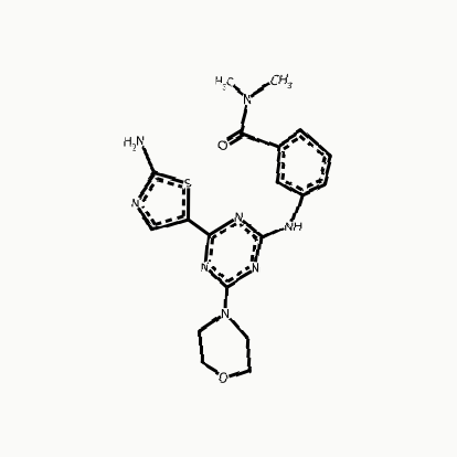 CN(C)C(=O)c1cccc(Nc2nc(-c3cnc(N)s3)nc(N3CCOCC3)n2)c1